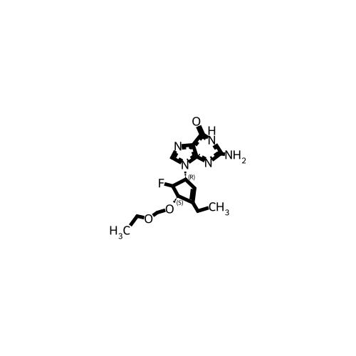 CCOCO[C@H]1C(CC)=C[C@@H](n2cnc3c(=O)[nH]c(N)nc32)C1F